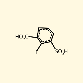 O=C(O)c1cccc(S(=O)(=O)O)c1I